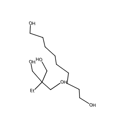 CCC(CO)(CO)CO.OCCCCCCCCCO